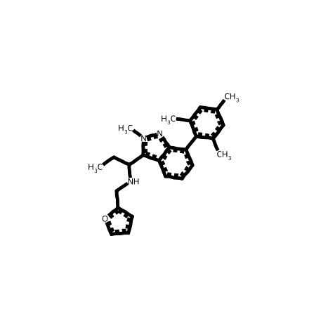 CCC(NCc1ccco1)c1c2cccc(-c3c(C)cc(C)cc3C)c2nn1C